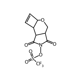 O=C1C2COC3C=CC3C2C(=O)N1OS(=O)(=O)C(F)(F)F